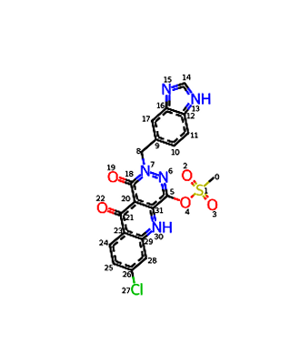 CS(=O)(=O)Oc1nn(Cc2ccc3[nH]cnc3c2)c(=O)c2c(=O)c3ccc(Cl)cc3[nH]c12